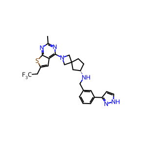 Cc1nc(N2CC3(CC[C@H](NCc4cccc(-c5cc[nH]n5)c4)C3)C2)c2cc(CC(F)(F)F)sc2n1